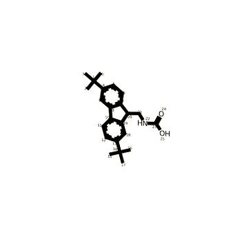 CC(C)(C)c1ccc2c(c1)-c1ccc(C(C)(C)C)cc1C2CNC(=O)O